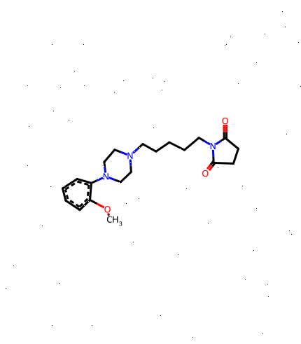 COc1ccccc1N1CCN(CCCCCN2C(=O)CCC2=O)CC1